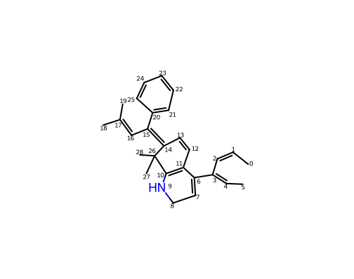 C/C=C\C(=C/C)C1=CCNC2=C1C=C/C(=C(/C=C(C)C)c1ccccc1)C2(C)C